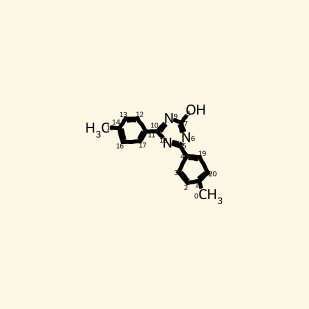 Cc1ccc(-c2nc(O)nc(-c3ccc(C)cc3)n2)cc1